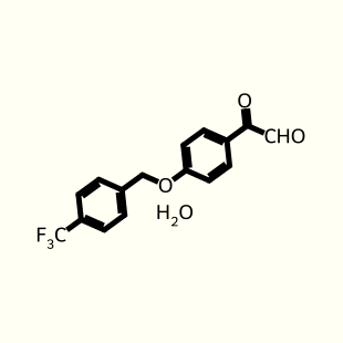 O.O=CC(=O)c1ccc(OCc2ccc(C(F)(F)F)cc2)cc1